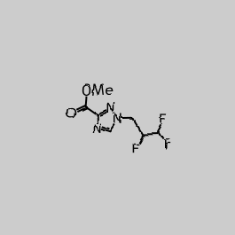 COC(=O)c1ncn(CC(F)C(F)F)n1